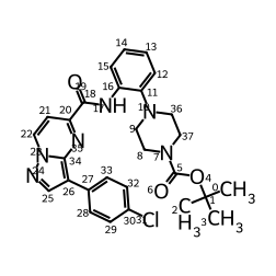 CC(C)(C)OC(=O)N1CCN(c2ccccc2NC(=O)c2ccn3ncc(-c4ccc(Cl)cc4)c3n2)CC1